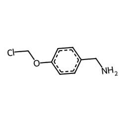 NCc1ccc(OCCl)cc1